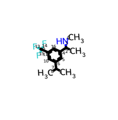 CNC(C)c1cc(C(C)C)cc(C(F)(F)F)c1